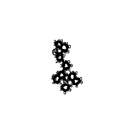 c1ccc(-n2c3c4ccccc4ccc3c3c(-c4cccc(-c5ccc6c(c5)-c5cccc7cccc(c57)O6)c4)cc4ccccc4c32)cc1